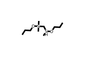 CCCO[SiH](C)C[Si](C)(C)OCCC